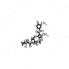 Cc1cc(NC(=O)c2c3c(cn2C)S(=O)(=O)N[C@H]2CN(C(=O)C(=O)NC4(C(F)(F)F)CC4)C[C@H]2CO3)ccc1F